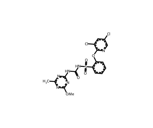 COc1nc(C)nc(NC(=O)NS(=O)(=O)c2ccccc2Oc2ncc(Cl)cc2Cl)n1